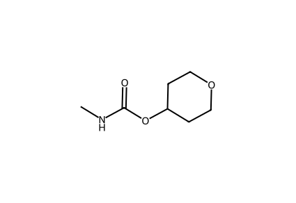 CNC(=O)OC1CCOCC1